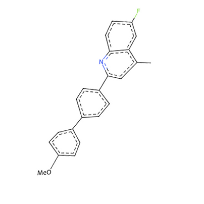 COc1ccc(-c2ccc(-c3cc(C)c4cc(F)ccc4n3)cc2)cc1